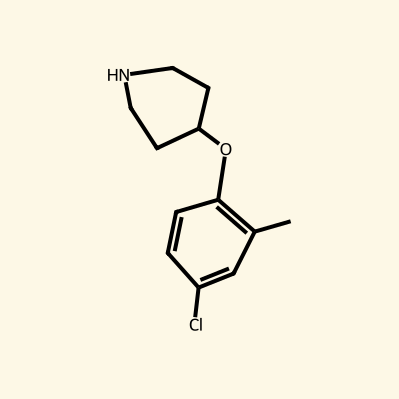 Cc1cc(Cl)ccc1OC1CCNCC1